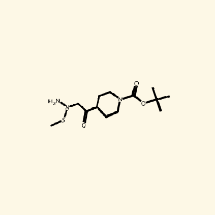 CSN(N)CC(=O)C1CCN(C(=O)OC(C)(C)C)CC1